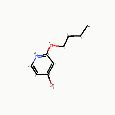 CCCCOc1cc(Br)ccn1